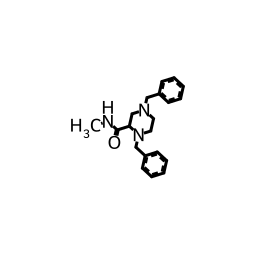 CNC(=O)C1CN(Cc2ccccc2)CCN1Cc1ccccc1